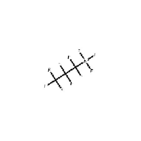 FC(F)(F)C(F)(F)C(F)(F)[N+](F)(F)F